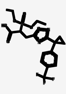 CCOP(=O)(OCC)C(Cc1nc(C2(c3ccc(C(F)(F)F)cc3)CC2)no1)C(=O)O